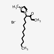 C=CC(=O)C(CCCCCCCCCC)[n+]1ccn(C)c1.[Br-]